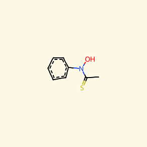 CC(=S)N(O)c1ccccc1